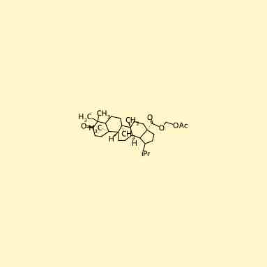 CC(=O)OCOC(=O)[C@]12CCC(C(C)C)C1[C@H]1CC[C@@H]3[C@@]4(C)CCC(=O)C(C)(C)C4CC[C@@]3(C)[C@]1(C)CC2